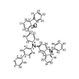 c1ccc(-c2ccc(N(c3ccc(-c4cccc5c4oc4ccccc45)cc3)c3ccc4c(c3)c3ccccc3n4-c3ccccc3)cc2)cc1